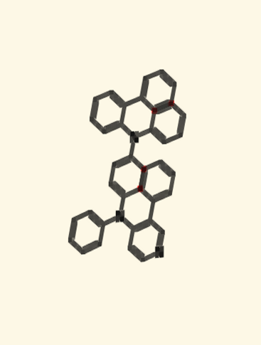 C1=C(N(c2ccccc2)c2ccccc2-c2ccccc2)CCC(N(c2ccccc2)c2ccncc2-c2ccccc2)=C1